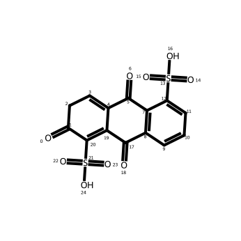 O=C1CC=C2C(=O)c3c(cccc3S(=O)(=O)O)C(=O)C2=C1S(=O)(=O)O